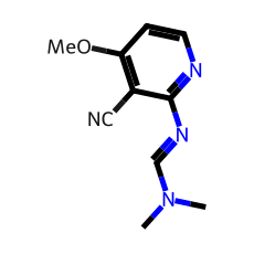 COc1ccnc(N=CN(C)C)c1C#N